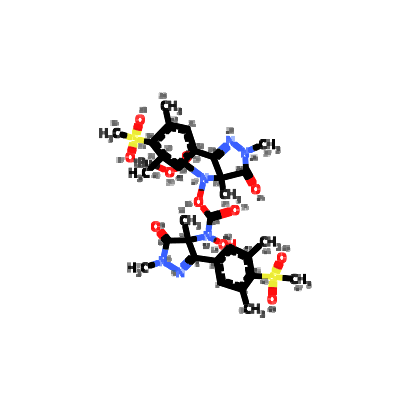 Cc1cc(C2=NN(C)C(=O)C2(C)N(O)C(=O)ON(C(=O)OC(C)(C)C)C2(C)C(=O)N(C)N=C2c2cc(C)c(S(C)(=O)=O)c(C)c2)cc(C)c1S(C)(=O)=O